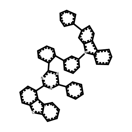 c1ccc(-c2ccc3c4ccccc4n(-c4cccc(-c5ccccc5-c5nc(-c6ccccc6)nc(-c6cccc7oc8ccccc8c67)n5)c4)c3c2)cc1